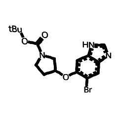 CC(C)(C)OC(=O)N1CCC(Oc2cc3[nH]cnc3cc2Br)C1